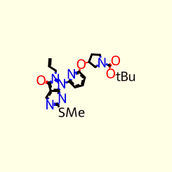 C=CCn1c(=O)c2cnc(SC)nc2n1-c1cccc(O[C@H]2CCN(C(=O)OC(C)(C)C)C2)n1